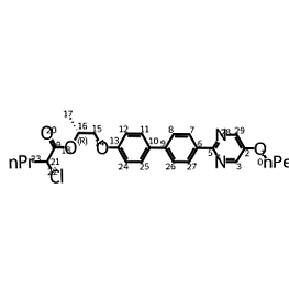 CCCCCOc1cnc(-c2ccc(-c3ccc(OC[C@@H](C)OC(=O)C(Cl)CCC)cc3)cc2)nc1